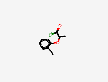 Cc1ccccc1OC(C)C(=O)Cl